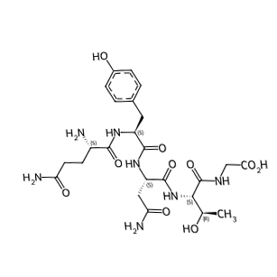 C[C@@H](O)[C@H](NC(=O)[C@H](CC(N)=O)NC(=O)[C@H](Cc1ccc(O)cc1)NC(=O)[C@@H](N)CCC(N)=O)C(=O)NCC(=O)O